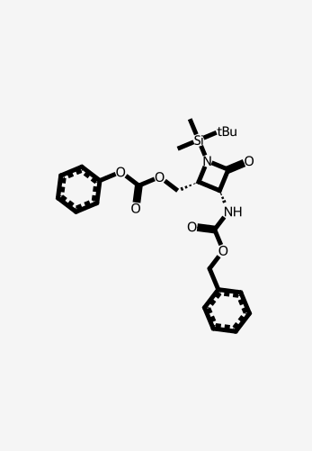 CC(C)(C)[Si](C)(C)N1C(=O)[C@H](NC(=O)OCc2ccccc2)[C@@H]1COC(=O)Oc1ccccc1